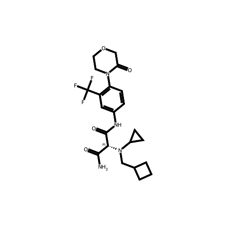 NC(=O)[C@H](C(=O)Nc1ccc(N2CCOCC2=O)c(C(F)(F)F)c1)N(CC1CCC1)C1CC1